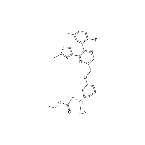 CCOC(=O)C[C@H](c1cccc(OCc2cnc(-c3cc(C)ccc3F)c(-c3ccc(C)s3)n2)c1)C1CC1